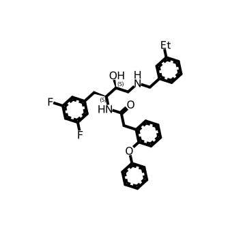 CCc1cccc(CNC[C@H](O)[C@H](Cc2cc(F)cc(F)c2)NC(=O)Cc2ccccc2Oc2ccccc2)c1